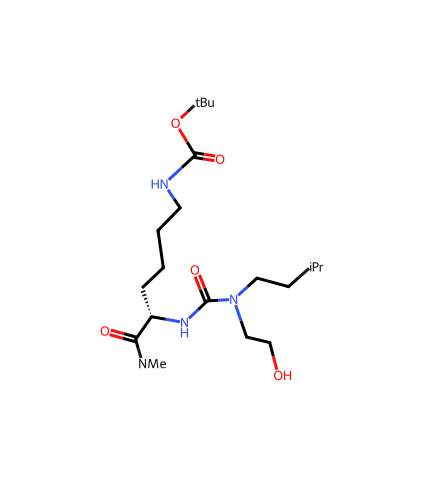 CNC(=O)[C@H](CCCCNC(=O)OC(C)(C)C)NC(=O)N(CCO)CCC(C)C